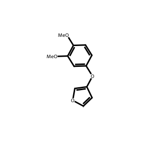 COc1ccc(Oc2c[c]oc2)cc1OC